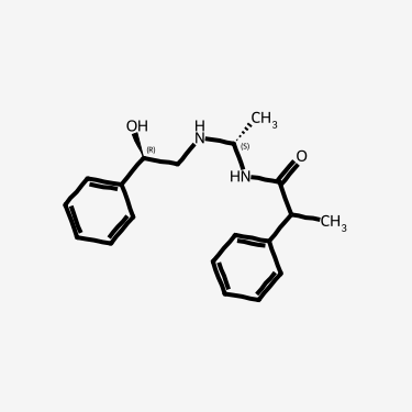 CC(C(=O)N[C@@H](C)NC[C@H](O)c1ccccc1)c1ccccc1